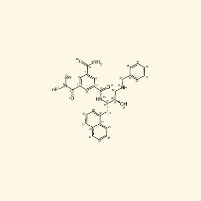 CCCN(CCC)C(=O)c1cc(C(N)=O)cc(C(=O)N[C@@H](Cc2cccc3ccccc23)[C@H](O)CNCc2ccccc2)c1